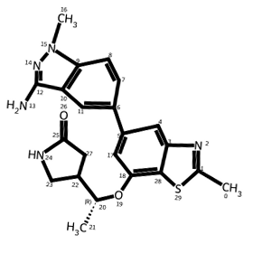 Cc1nc2cc(-c3ccc4c(c3)c(N)nn4C)cc(O[C@H](C)C3CNC(=O)C3)c2s1